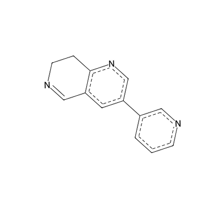 C1=NCCc2ncc(-c3cccnc3)cc21